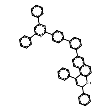 C1=C(c2ccccc2)c2c(ccc3cc(-c4cccc(-c5ccc(-c6nc(-c7ccccc7)cc(-c7ccccc7)n6)cc5)c4)ccc23)NC1c1ccccc1